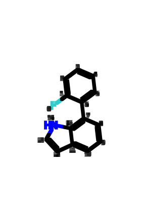 Fc1ccccc1-c1cccc2cc[nH]c12